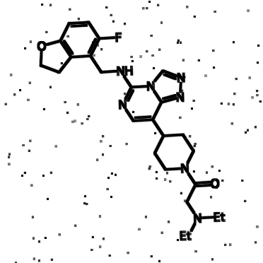 CCN(CC)CC(=O)N1CCC(c2cnc(NCc3c(F)ccc4c3CCO4)n3cnnc23)CC1